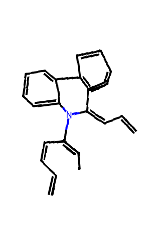 C=C/C=C\C(=C/C)N(/C(C=C)=C/C=C)c1ccccc1-c1ccccc1